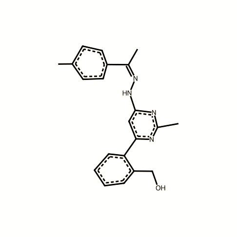 C/C(=N/Nc1cc(-c2ccccc2CO)nc(C)n1)c1ccc(C)cc1